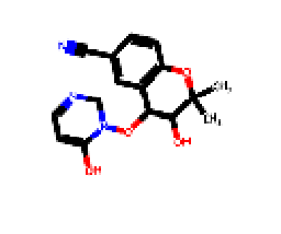 CC1(C)Oc2ccc(C#N)cc2C(ON2CN=CC=C2O)C1O